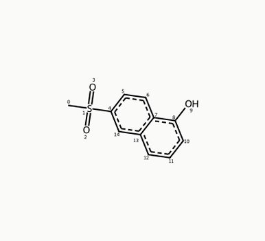 CS(=O)(=O)c1ccc2c(O)cccc2c1